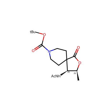 CC(=O)N[C@@H]1[C@H](C)OC(=O)C12CCN(C(=O)OC(C)(C)C)CC2